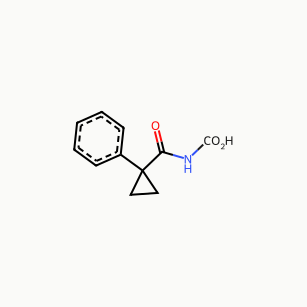 O=C(O)NC(=O)C1(c2ccccc2)CC1